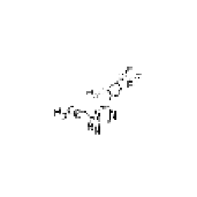 COCc1nnc2cnc(-c3ccc(OC(F)(F)F)cc3C)cn12